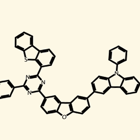 c1ccc(-c2nc(-c3ccc4oc5ccc(-c6ccc7c(c6)c6ccccc6n7-c6ccccc6)cc5c4c3)nc(-c3cccc4c3sc3ccccc34)n2)cc1